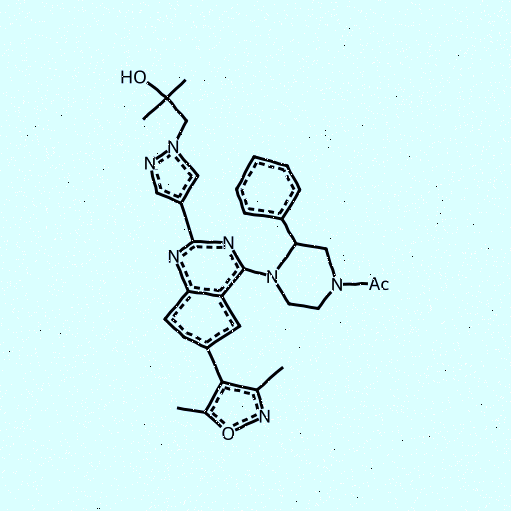 CC(=O)N1CCN(c2nc(-c3cnn(CC(C)(C)O)c3)nc3ccc(-c4c(C)noc4C)cc23)C(c2ccccc2)C1